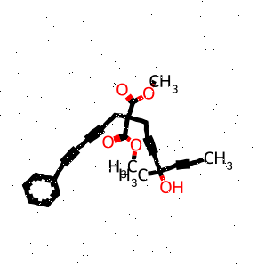 CC#CC(C)(O)C#CCC(CC#CC#Cc1ccccc1)(C(=O)OC)C(=O)OC